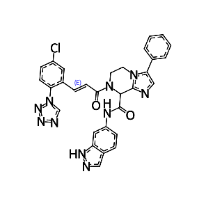 O=C(Nc1ccc2cn[nH]c2c1)C1c2ncc(-c3ccccc3)n2CCN1C(=O)/C=C/c1cc(Cl)ccc1-n1cnnn1